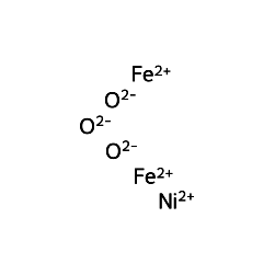 [Fe+2].[Fe+2].[Ni+2].[O-2].[O-2].[O-2]